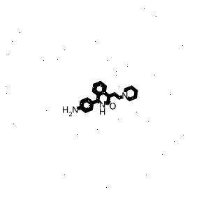 Nc1ccc(C2NC(=O)C(CCN3CCCCC3)c3ccccc32)cc1